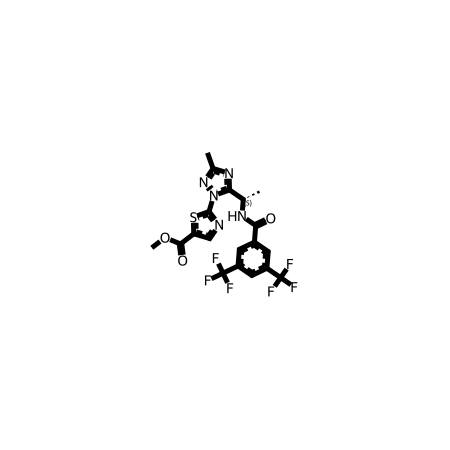 COC(=O)c1cnc(-n2nc(C)nc2[C@H](C)NC(=O)c2cc(C(F)(F)F)cc(C(F)(F)F)c2)s1